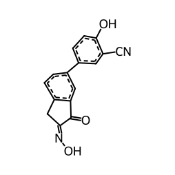 N#Cc1cc(-c2ccc3c(c2)C(=O)/C(=N\O)C3)ccc1O